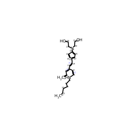 C=C/C=C(\C=C/NCCCCCC)/C=C/c1ccc(N(CCO)CCO)cc1